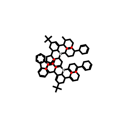 CC1CCCCC1C1=CC(C(C)(C)C)CC(C2CCCC2)C1N(C1C=CC(C2C=CC=CC2)CC1)C1C=C(N2c3ccccc3C3=CC=CCC32)C=C(N(C2=CC=C(C3=CC=CCC3)CC2)C2C(C3CC=CCC3)=CC(C(C)(C)C)CC2C2=CCCCC2)C1